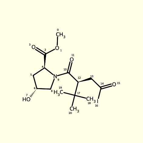 COC(=O)[C@@H]1C[C@@H](O)CN1C(=O)[C@@H](CC(=O)I)C(C)(C)C